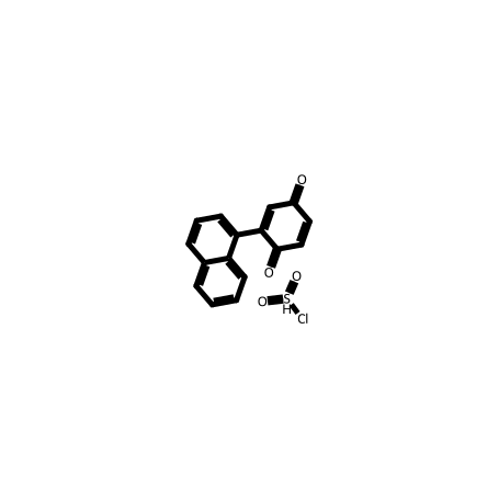 O=C1C=CC(=O)C(c2cccc3ccccc23)=C1.O=[SH](=O)Cl